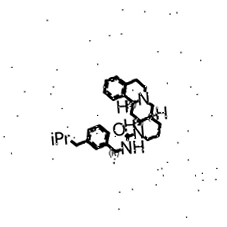 CC(C)Cc1cccc([C@@H](C)NC(=O)N2CCC[C@@H]3CN4CCc5ccccc5[C@@H]4C[C@@H]32)c1